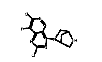 Fc1c(Cl)ncc2c(N3CC4CC3CN4)nc(Cl)nc12